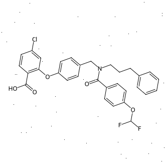 O=C(O)c1ccc(Cl)cc1Oc1ccc(CN(CCCc2ccccc2)C(=O)c2ccc(OC(F)F)cc2)cc1